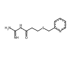 N=C(N)NC(=O)CCSCc1ccccn1